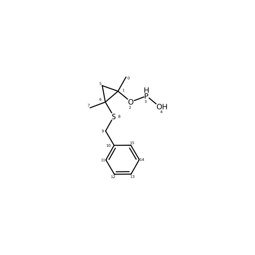 CC1(OPO)CC1(C)SCc1ccccc1